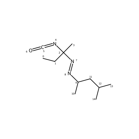 CCC(C)(N=C=O)/N=N/C(C)CC(C)C